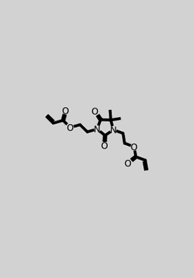 C=CC(=O)OCCN1C(=O)N(CCOC(=O)C=C)C(C)(C)C1=O